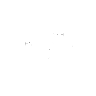 C#CCSc1cc(OC)c(CCNCC2CC2)cc1OC